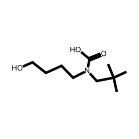 CC(C)(C)CN(CCCCO)C(=O)O